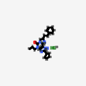 CCCN1C(=O)N2CC(CCc3ccccc3)N=C2c2[nH]c(C3CCCC3)nc21.Cl